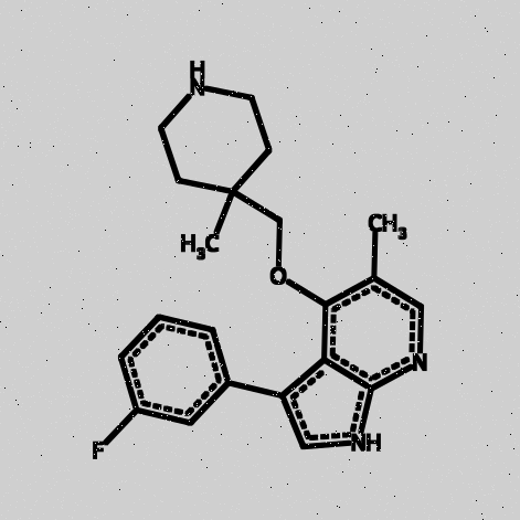 Cc1cnc2[nH]cc(-c3cccc(F)c3)c2c1OCC1(C)CCNCC1